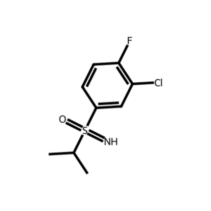 CC(C)S(=N)(=O)c1ccc(F)c(Cl)c1